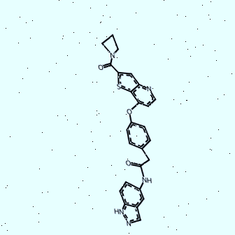 O=C(Cc1ccc(Oc2ccnc3cc(C(=O)N4CCC4)sc23)cc1)Nc1ccc2[nH]ncc2c1